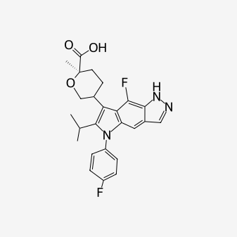 CC(C)c1c(C2CC[C@](C)(C(=O)O)OC2)c2c(F)c3[nH]ncc3cc2n1-c1ccc(F)cc1